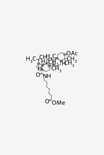 C=C(C)[C@@H]1CC[C@]2(C(=O)NCCCCCCC(=O)OC)CC[C@]3(C)[C@H](CCC4[C@@]5(C)CC[C@H](OC(C)=O)C(C)(C)[C@@H]5CC[C@]43C)[C@@H]12